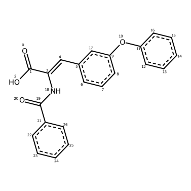 O=C(O)/C(=C/c1cccc(Oc2ccccc2)c1)NC(=O)c1ccccc1